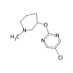 CN1CCCC(Oc2ncc(Cl)cn2)C1